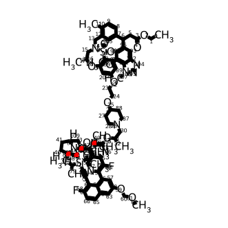 CCOC(=O)CC(c1ccc(C)c(CN2C[C@@H](C)Oc3cc(OCCOC4CCN(CC(C)Oc5nc(N6C[C@H]7CC[C@@H](C6)N7C(=O)OC(C)(C)C)c6cnc(-c7cc(OCOC)cc8ccc(F)c(C#C[Si](C(C)C)(C(C)C)C(C)C)c78)c(F)c6n5)CC4)ccc3S2(=O)=O)c1)c1cc(OC)c2c(c1)nnn2C